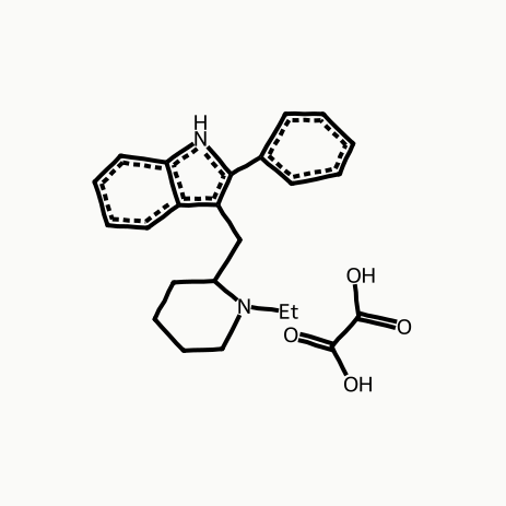 CCN1CCCCC1Cc1c(-c2ccccc2)[nH]c2ccccc12.O=C(O)C(=O)O